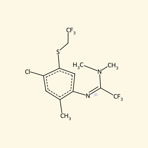 Cc1cc(Cl)c(SCC(F)(F)F)cc1/N=C(\N(C)C)C(F)(F)F